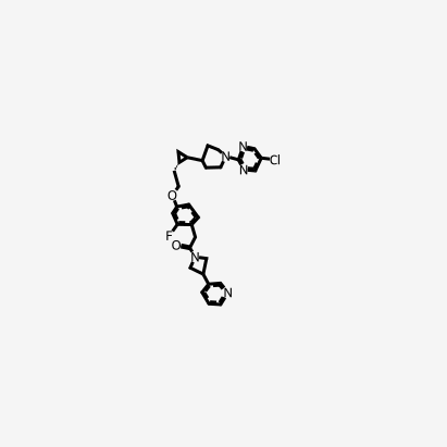 O=C(Cc1ccc(OCC[C@@H]2CC2C2CCN(c3ncc(Cl)cn3)CC2)cc1F)N1CC(c2cccnc2)C1